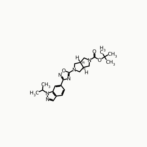 CC(C)n1ncc2ccc(-c3noc(N4C[C@@H]5CN(C(=O)OC(C)(C)C)C[C@H]5C4)n3)cc21